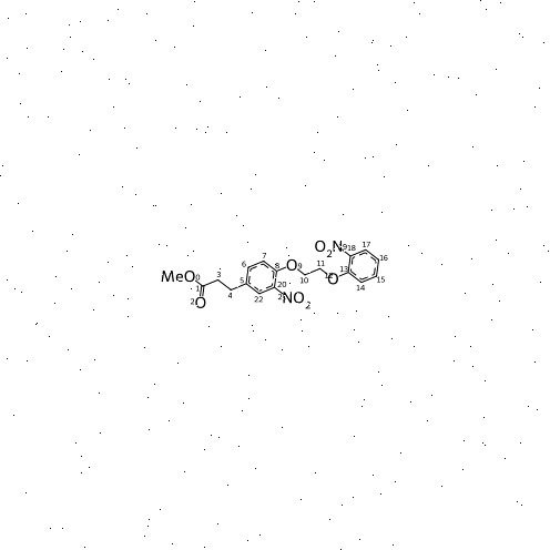 COC(=O)CCc1ccc(OCCOc2ccccc2[N+](=O)[O-])c([N+](=O)[O-])c1